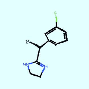 CCC(C1=NCCN1)c1cccc(F)c1